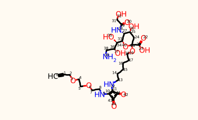 C#CCOCCOCCNc1c(NCCCCCCO[C@]2(C(=O)O)C[C@H](O)[C@@H](NC(=O)CO)[C@H]([C@H](O)[C@H](O)CN)O2)c(=O)c1=O